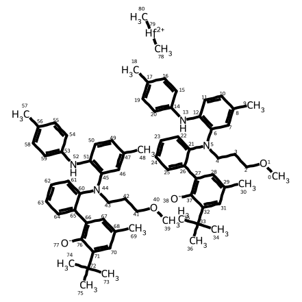 COCCCN(c1cc(C)ccc1Nc1ccc(C)cc1)c1ccccc1-c1cc(C)cc(C(C)(C)C)c1[O-].COCCCN(c1cc(C)ccc1Nc1ccc(C)cc1)c1ccccc1-c1cc(C)cc(C(C)(C)C)c1[O-].[CH3][Hf+2][CH3]